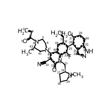 C=CC(=O)N1CCN(c2c(C#N)c(=O)n(C[C@@H]3CCCN3C)c3c(F)c(-c4c(C)ccc5[nH]ncc45)c(C=C)cc23)C[C@H]1C